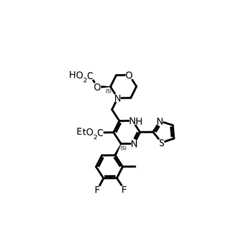 CCOC(=O)C1=C(CN2CCOC[C@@H]2OC(=O)O)NC(c2nccs2)=N[C@H]1c1ccc(F)c(F)c1C